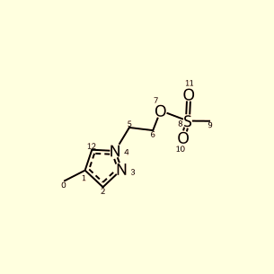 Cc1cnn(CCOS(C)(=O)=O)c1